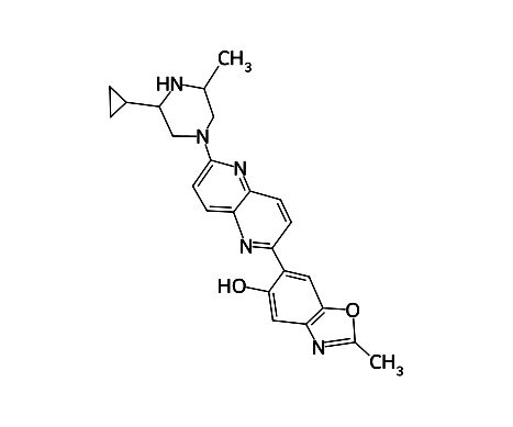 Cc1nc2cc(O)c(-c3ccc4nc(N5CC(C)NC(C6CC6)C5)ccc4n3)cc2o1